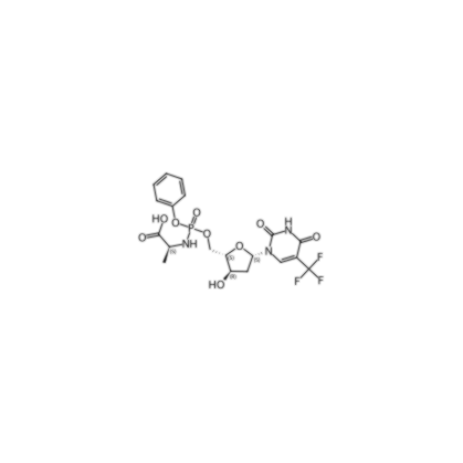 C[C@H](NP(=O)(OC[C@@H]1O[C@H](n2cc(C(F)(F)F)c(=O)[nH]c2=O)C[C@H]1O)Oc1ccccc1)C(=O)O